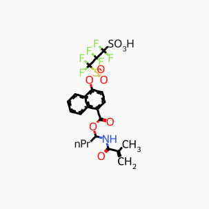 C=C(C)C(=O)NC(CCC)OC(=O)c1ccc(OS(=O)(=O)C(F)(F)C(F)(F)C(F)(F)S(=O)(=O)O)c2ccccc12